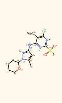 COc1c(Cl)nc(S(C)(=O)=O)nc1Nc1cc(C)n(C2CCCCO2)n1